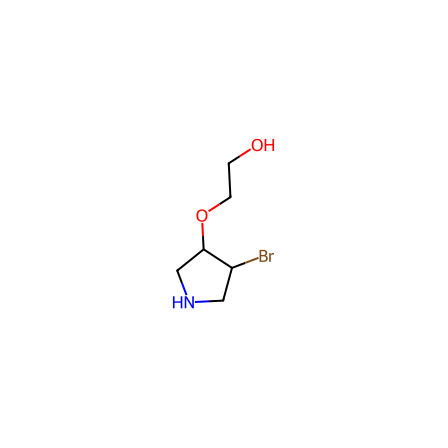 OCCOC1CNCC1Br